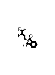 O=C1c2ccccc2C(=O)N1CCC(F)=C(F)F